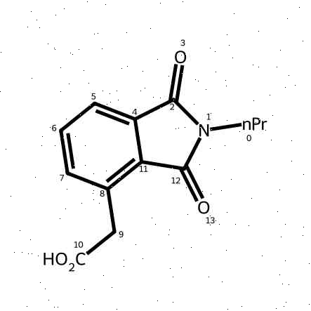 CCCN1C(=O)c2cccc(CC(=O)O)c2C1=O